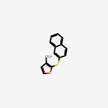 O=C(O)c1ccoc1Sc1ccc2ccccc2c1